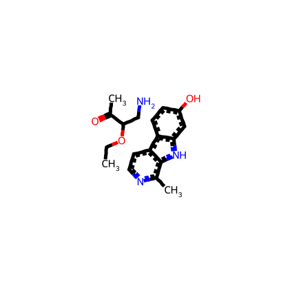 CCOC(CN)C(C)=O.Cc1nccc2c1[nH]c1cc(O)ccc12